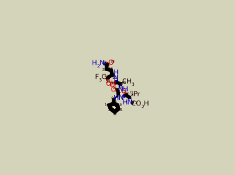 CC(C)[C@H](NC(=O)O)C(=O)N[C@@H](Cc1ccccc1)C(=O)N[C@@H](C)C(=O)NC(CCC(N)=O)C(O)C(F)(F)F